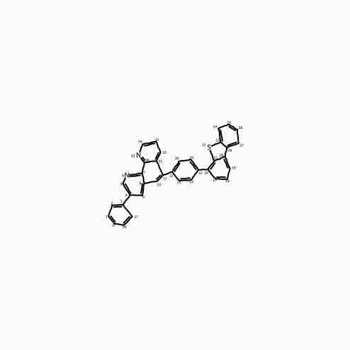 c1ccc(-c2cnc3c(c2)cc(-c2ccc(-c4cccc5c4sc4ccccc45)cc2)c2cccnc23)cc1